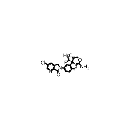 C[C@H]1COC(N)=N[C@@]1(c1cc(N2Cc3cc(Cl)cnc3C2=O)ccc1F)C(F)F